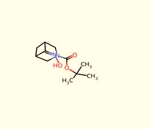 CC(C)(C)OC(=O)N1CC2CC(C1)C2=NO